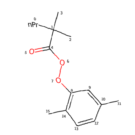 CCCC(C)(C)C(=O)OOc1cc(C)ccc1C